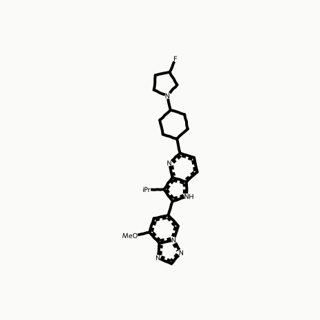 COc1cc(-c2[nH]c3ccc(C4CCC(N5CCC(F)C5)CC4)nc3c2C(C)C)cn2ncnc12